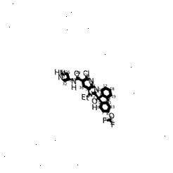 CCn1c(C(O)(c2ccc(OC(F)F)cc2)c2ccccc2F)nc2nc(Cl)c(C(=O)Nc3cn[nH]c3)cc21